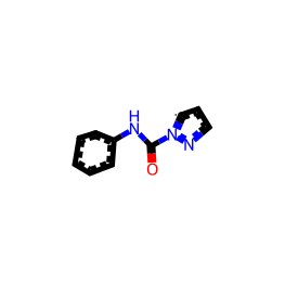 O=C(Nc1ccccc1)n1[c]ccn1